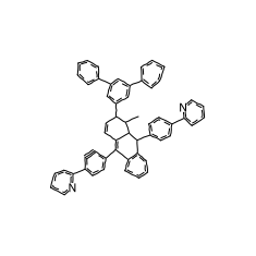 CC1C(c2cc(-c3ccccc3)cc(-c3ccccc3)c2)C=CC2=C(c3c#cc(-c4ccccn4)cc3)c3ccccc3C(c3ccc(-c4ccccn4)cc3)C21